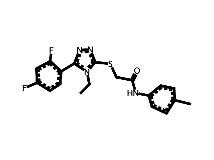 CCn1c(SCC(=O)Nc2ccc(C)cc2)nnc1-c1ccc(F)cc1F